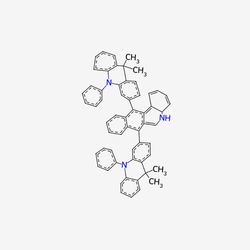 CC1(C)c2ccccc2N(c2ccccc2)c2cc(-c3c4c(c(-c5ccc6c(c5)N(c5ccccc5)c5ccccc5C6(C)C)c5ccccc35)=C3C=CC=CC3NC=4)ccc21